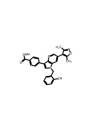 COC(=O)c1ccc(-c2cn(Cc3ccccc3C#N)c3cc(-c4c(C)noc4C)cnc23)cc1